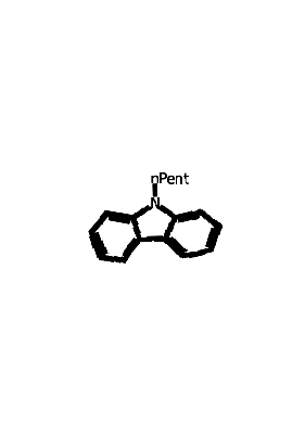 CCCCCn1c2ccccc2c2ccccc21